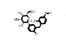 CCOc1ccc(Cc2cc([C@@H]3S[C@H](CO)[C@@H](O)[C@H](O)[C@H]3O)ccc2Cl)c(C)c1